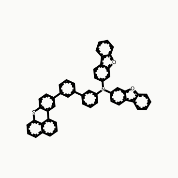 c1cc(-c2cccc(N(c3ccc4c(c3)oc3ccccc34)c3ccc4c(c3)oc3ccccc34)c2)cc(-c2ccc3c(c2)-c2cccc4cccc(c24)S3)c1